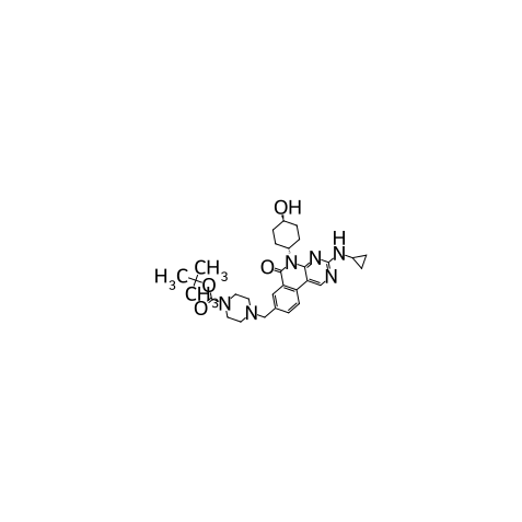 CC(C)(C)OC(=O)N1CCN(Cc2ccc3c(c2)c(=O)n([C@H]2CC[C@H](O)CC2)c2nc(NC4CC4)ncc32)CC1